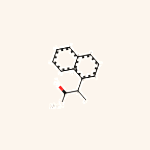 COC(=O)C(C)c1cccc2ccccc12